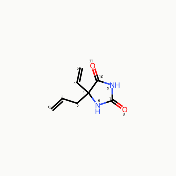 C=CCC1(C=C)NC(=O)NC1=O